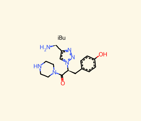 CC[C@H](C)[C@H](N)c1cn([C@@H](Cc2ccc(O)cc2)C(=O)N2CCNCC2)nn1